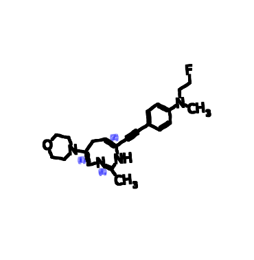 C/C1=N\C=C(\N2CCOCC2)C/C=C(/C#Cc2ccc(N(C)CCF)cc2)N1